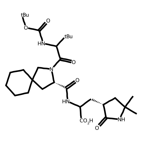 CC1(C)C[C@@H](CC(NC(=O)[C@@H]2CC3(CCCCC3)CN2C(=O)C(NC(=O)OC(C)(C)C)C(C)(C)C)C(=O)O)C(=O)N1